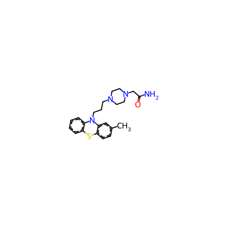 Cc1ccc2c(c1)N(CCCN1CCN(CC(N)=O)CC1)c1ccccc1S2